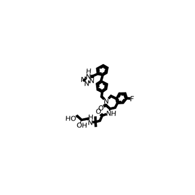 CC(C)(CC(=O)N[C@@H]1Cc2cc(F)ccc2CN(Cc2ccc(-c3ccccc3-c3nnn[nH]3)cc2)C1=O)NC[C@H](O)CO